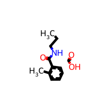 CCCNC(=O)c1ccccc1C.O=CO